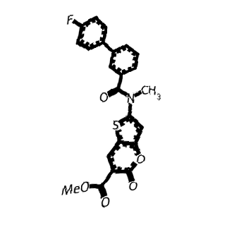 COC(=O)c1cc2sc(N(C)C(=O)c3cccc(-c4ccc(F)cc4)c3)cc2oc1=O